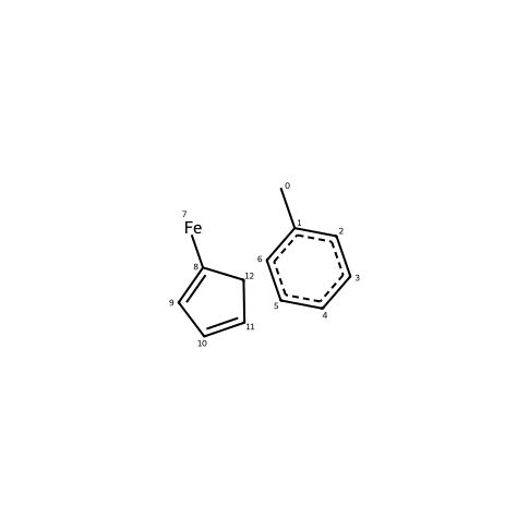 Cc1ccccc1.[Fe][C]1=CC=CC1